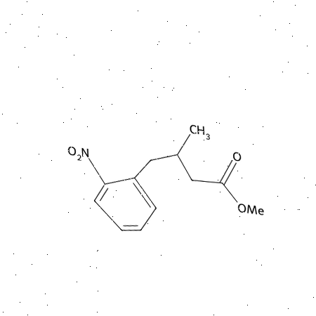 COC(=O)CC(C)Cc1ccccc1[N+](=O)[O-]